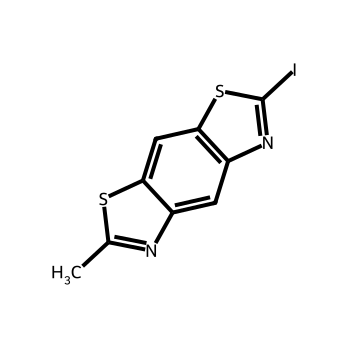 Cc1nc2cc3nc(I)sc3cc2s1